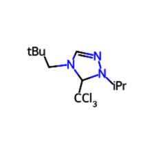 CC(C)N1N=CN(CC(C)(C)C)C1C(Cl)(Cl)Cl